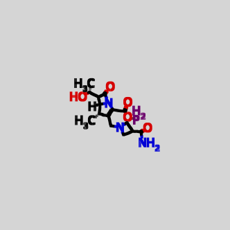 C[C@@H](O)C1C(=O)N2C(C(=O)OP)=C(CN3CC(C(N)=O)C3)[C@H](C)[C@H]12